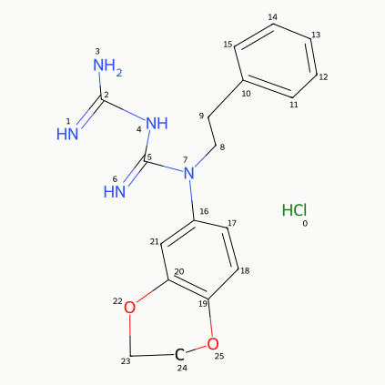 Cl.N=C(N)NC(=N)N(CCc1ccccc1)c1ccc2c(c1)OCCO2